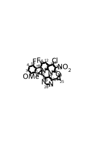 COc1cccc(F)c1-c1nc2c(cc1F)c(Cl)c([N+](=O)[O-])c(=O)n2-c1c(C2CC2)ncnc1C1CC1